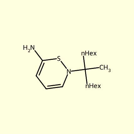 CCCCCCC(C)(CCCCCC)N1C=CC=C(N)S1